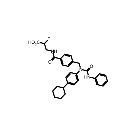 O=C(NCC(F)C(=O)O)c1ccc(CN(C(=O)Nc2ccccc2)c2ccc(C3CCCCC3)cc2)cc1